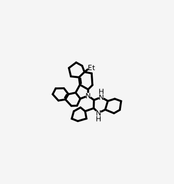 CCC12CCCCC1=C1C3C4=C(CCCC4)CCC3N(C3NC4CCCCC4NC3C3CCCCC3)C1CC2